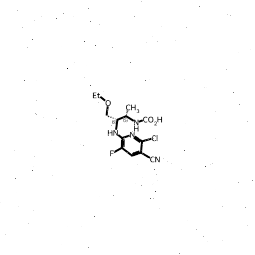 CCOC[C@@H](Nc1nc(Cl)c(C#N)cc1F)[C@H](C)NC(=O)O